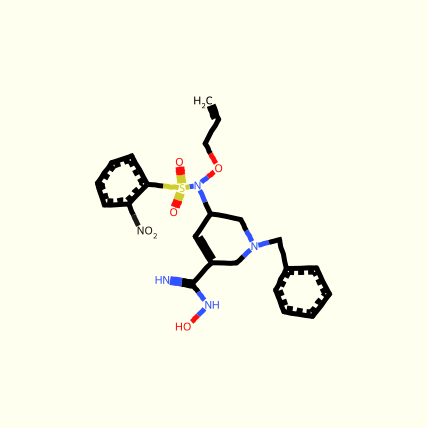 C=CCON(C1C=C(C(=N)NO)CN(Cc2ccccc2)C1)S(=O)(=O)c1ccccc1[N+](=O)[O-]